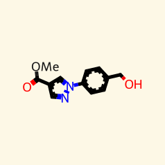 COC(=O)c1cnn(-c2ccc(CO)cc2)c1